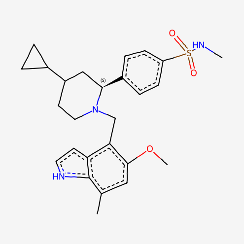 CNS(=O)(=O)c1ccc([C@@H]2CC(C3CC3)CCN2Cc2c(OC)cc(C)c3[nH]ccc23)cc1